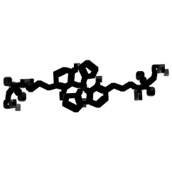 CCS(=O)(=O)NCCCc1ccc(F)[c]([Ti]([C]2=CC=CC2)([C]2=CC=CC2)[c]2c(F)ccc(CCCNS(=O)(=O)CC)c2F)c1F